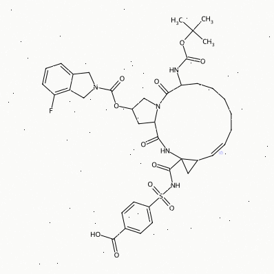 CC(C)(C)OC(=O)NC1CCCCC/C=C\C2CC2(C(=O)NS(=O)(=O)c2ccc(C(=O)O)cc2)NC(=O)C2CC(OC(=O)N3Cc4cccc(F)c4C3)CN2C1=O